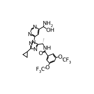 C[C@H](NC(=O)c1cc(OC(F)(F)F)cc(OC(F)(F)F)c1)c1nc(C2CC2)nn1-c1cc(C(N)O)ncn1